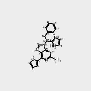 Nc1nc(-c2ccco2)c2ncn([C@@H](Cc3ccccc3)c3ncc[nH]3)c2n1